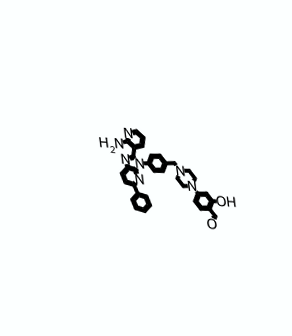 Nc1ncccc1-c1nc2ccc(-c3ccccc3)nc2n1-c1ccc(CN2CCN(c3ccc(C=O)c(O)c3)CC2)cc1